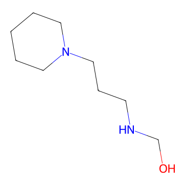 OCNCCCN1CCCCC1